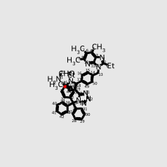 CCc1nc2c(C)c(C)c(C)nc2n1Cc1ccc(-c2c(-c3nnnn3C(c3ccccc3)(c3ccccc3)c3ccccc3)cc(C)n2CC)cc1.NC=O